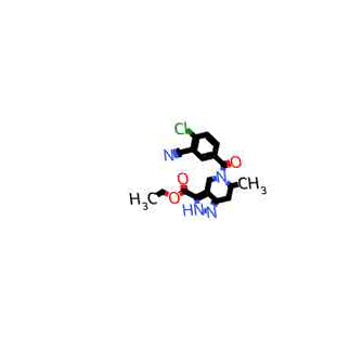 CCOC(=O)c1[nH]nc2c1CN(C(=O)c1ccc(Cl)c(C#N)c1)C(C)C2